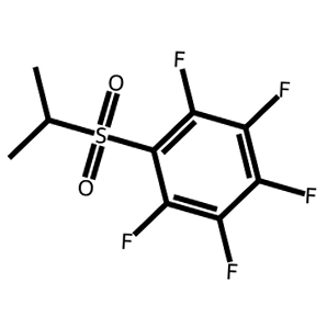 CC(C)S(=O)(=O)c1c(F)c(F)c(F)c(F)c1F